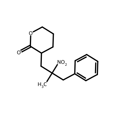 CC(Cc1ccccc1)(CC1CCCOC1=O)[N+](=O)[O-]